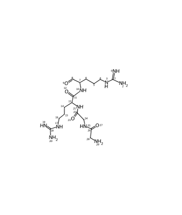 N=C(N)NCCCC([C]=O)NC(=O)C(CCCNC(=N)N)NC(=O)CNC(=O)CN